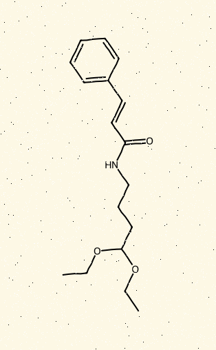 CCOC(CCCNC(=O)C=Cc1ccccc1)OCC